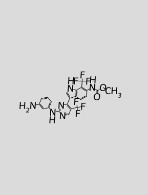 COC(=O)Nc1ccc2c(-c3nc(Nc4cccc(N)c4)ncc3C(F)(F)F)c[nH]c2c1C(F)(F)F